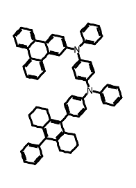 c1ccc(-c2c3c(c(-c4ccc(N(c5ccccc5)c5ccc(N(c6ccccc6)c6ccc7c8ccccc8c8ccccc8c7c6)cc5)cc4)c4c2CCCC4)CCCC3)cc1